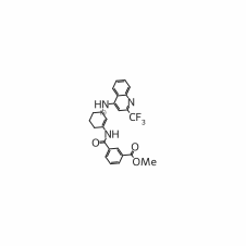 COC(=O)c1cccc(C(=O)NC2=C[C@@H](Nc3cc(C(F)(F)F)nc4ccccc34)CCC2)c1